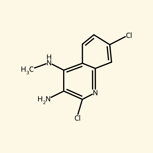 CNc1c(N)c(Cl)nc2cc(Cl)ccc12